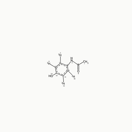 [2H]c1c([2H])c(NC(C)=O)c([2H])c([2H])c1O